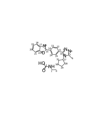 CCNC(=O)O.Cc1nnc(-c2ccc(-c3nc4ccccc4o3)cc2)n1C1CCCC1